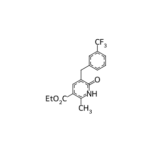 CCOC(=O)c1cc(Cc2cccc(C(F)(F)F)c2)c(=O)[nH]c1C